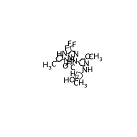 C=CC(=O)Nc1cc(C)ccc1Nc1nc(Nc2cc(NC3CCC(C)(O)CC3)nc(OC)c2)ncc1C(F)(F)F